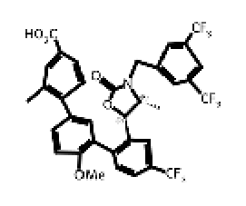 COc1ccc(-c2ccc(C(=O)O)cc2C)cc1-c1ccc(C(F)(F)F)cc1[C@H]1OC(=O)N(Cc2cc(C(F)(F)F)cc(C(F)(F)F)c2)[C@@H]1C